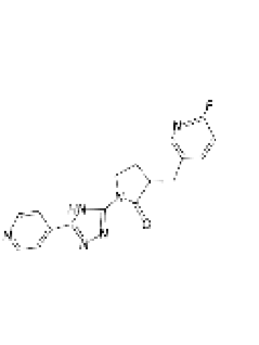 O=C1[C@@H](Cc2ccc(F)nc2)CCN1c1nnc(-c2ccncc2)[nH]1